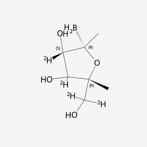 [2H]C([2H])(O)[C@@]1(C)O[C@](B)(C)[C@@]([2H])(O)C1([2H])O